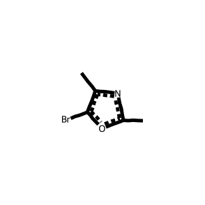 Cc1nc(C)c(Br)o1